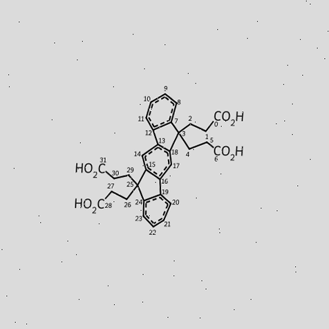 O=C(O)CCC1(CCC(=O)O)c2ccccc2-c2cc3c(cc21)-c1ccccc1C3(CCC(=O)O)CCC(=O)O